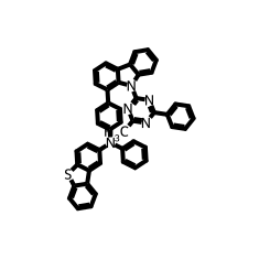 Cc1nc(-c2ccccc2)nc(-n2c3ccccc3c3cccc(-c4ccc(N(c5ccccc5)c5ccc6sc7ccccc7c6c5)cc4)c32)n1